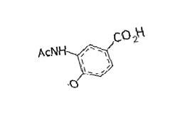 CC(=O)Nc1cc(C(=O)O)ccc1[O]